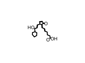 O=C(O)CCCC=CC=C1C(=O)C=CC1C=CC(O)C1CCCCC1